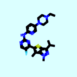 CCN1CCN(c2ccc(Nc3ncc(F)c(-c4sc5c(C(C)C)nn(C)c5c4C)n3)nc2)CC1